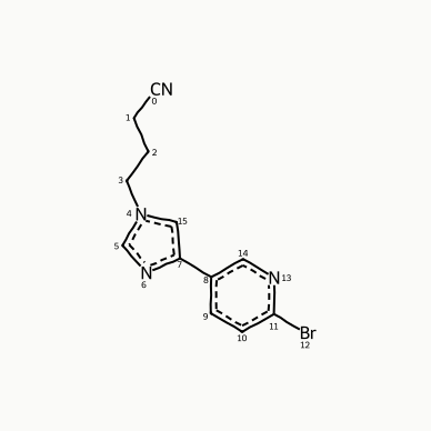 N#CCCCn1cnc(-c2ccc(Br)nc2)c1